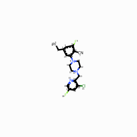 CC(C)Cc1cc(F)c(C#N)c(N2CCN(Cc3ncc(F)cc3Cl)CC2)c1